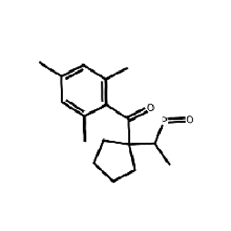 Cc1cc(C)c(C(=O)C2(C(C)P=O)CCCC2)c(C)c1